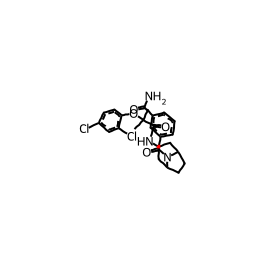 CC(C)(Oc1ccc(Cl)cc1Cl)C(=O)NC1CC2CCC(C1)N2C(=O)c1cccc(C(N)=O)c1